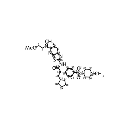 COCCN(C)c1ccc2nc(NC(=O)C(CC3CCCC3)c3ccc(S(=O)(=O)N4CCN(C)CC4)cc3)sc2n1